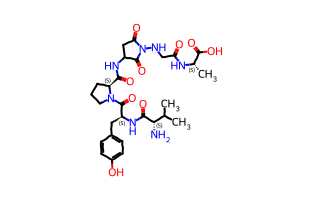 CC(C)[C@H](N)C(=O)N[C@@H](Cc1ccc(O)cc1)C(=O)N1CCC[C@H]1C(=O)NC1CC(=O)N(NCC(=O)N[C@@H](C)C(=O)O)C1=O